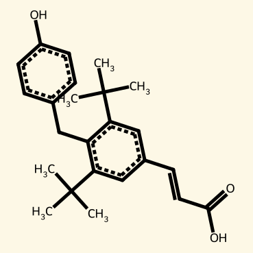 CC(C)(C)c1cc(C=CC(=O)O)cc(C(C)(C)C)c1Cc1ccc(O)cc1